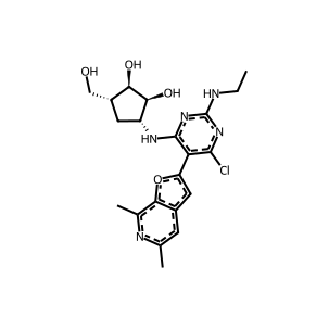 CCNc1nc(Cl)c(-c2cc3cc(C)nc(C)c3o2)c(N[C@@H]2C[C@H](CO)[C@@H](O)[C@H]2O)n1